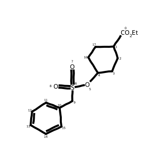 CCOC(=O)C1CCC(OS(=O)(=O)Cc2ccccc2)CC1